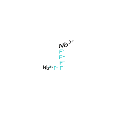 [F-].[F-].[F-].[F-].[F-].[F-].[Nb+3].[Nb+3]